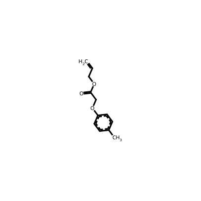 C=CCOC(=O)COc1ccc(C)cc1